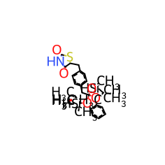 C[SiH](OC(Cc1ccc(CC2SC(=O)NC2=O)cc1)(Oc1ccccc1)O[SiH](C)C(C)(C)C)C(C)(C)C